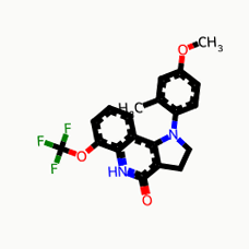 COc1ccc(N2CCc3c2c2cccc(OC(F)(F)F)c2[nH]c3=O)c(C)c1